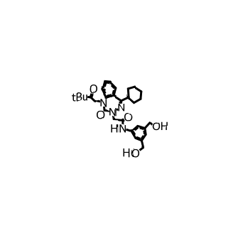 CC(C)(C)C(=O)CN1C(=O)N(CC(=O)Nc2cc(CO)cc(CO)c2)N=C(C2CCCCC2)c2ccccc21